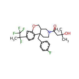 CC(C)(O)CC(=O)N1CCC2(Cc3ccc(F)cc3)c3ccc(C(C)(F)C(F)(F)F)cc3OCC2C1